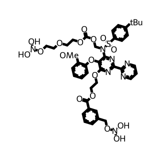 COc1ccccc1Oc1c(OCCOC(=O)c2cccc(CON(O)O)c2)nc(-c2ncccn2)nc1N(COC(=O)OCCOCCON(O)O)S(=O)(=O)c1ccc(C(C)(C)C)cc1